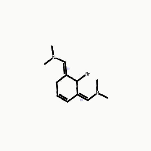 CN(C)/C=C1/C=CC/C(=C\N(C)C)C1Br